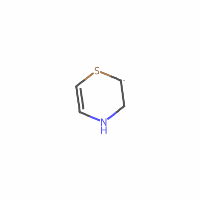 [CH]1CNC=CS1